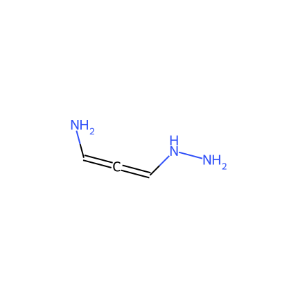 NC=C=CNN